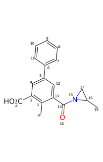 Cc1c(C(=O)O)cc(-c2ccccc2)cc1C(=O)N1CC1C